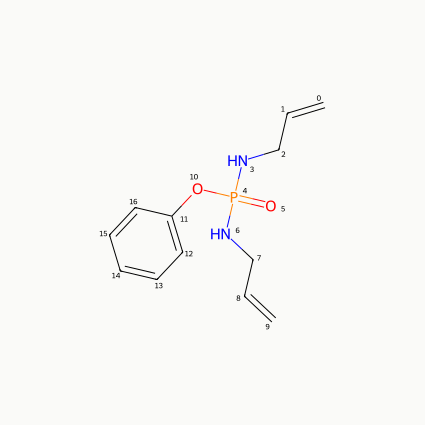 C=CCNP(=O)(NCC=C)Oc1ccccc1